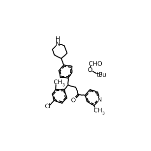 CC(C)(C)OC=O.Cc1cc(C(=O)CC(c2ccc(C3CCNCC3)cc2)c2ccc(Cl)cc2C)ccn1